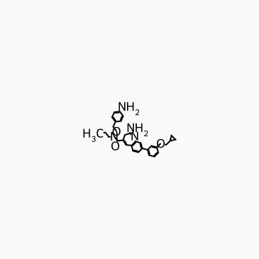 CCCN(OCc1ccc(N)cc1)C(=O)C1=Cc2ccc(-c3cccc(OCC4CC4)c3)cc2N=C(N)C1